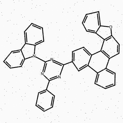 c1ccc(-c2nc(-c3ccc4c(c3)c3ccccc3c3ccc5oc6ccccc6c5c34)nc(-n3c4ccccc4c4ccccc43)n2)cc1